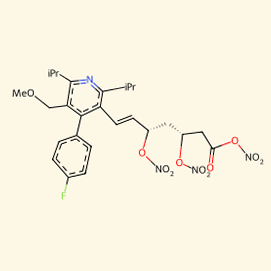 COCc1c(C(C)C)nc(C(C)C)c(/C=C/[C@H](C[C@H](CC(=O)O[N+](=O)[O-])O[N+](=O)[O-])O[N+](=O)[O-])c1-c1ccc(F)cc1